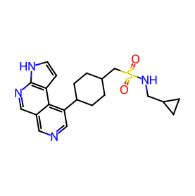 O=S(=O)(CC1CCC(c2cncc3cnc4[nH]ccc4c23)CC1)NCC1CC1